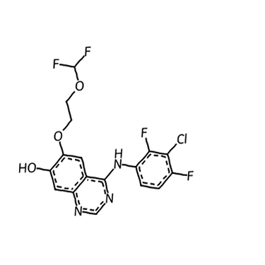 Oc1cc2ncnc(Nc3ccc(F)c(Cl)c3F)c2cc1OCCOC(F)F